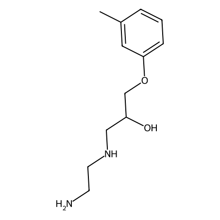 Cc1cccc(OCC(O)CNCCN)c1